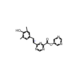 Cc1cc(/C=C/c2ncnc(C(=O)Oc3cncnc3)n2)cc(C)c1O